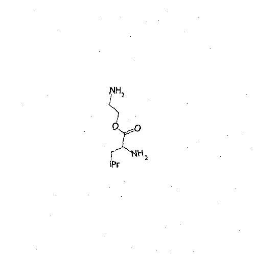 CC(C)CC(N)C(=O)OCCN